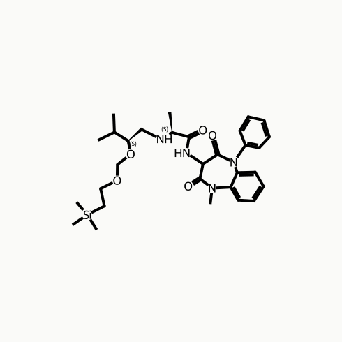 CC(C)[C@@H](CN[C@@H](C)C(=O)NC1C(=O)N(C)c2ccccc2N(c2ccccc2)C1=O)OCOCC[Si](C)(C)C